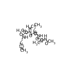 CC(=O)Nc1cc(C(=O)Nc2cc(C(=O)Nc3cc(C(=O)NCCCN4CCN(C)CC4)n(C)c3)n(CCC(C)C)c2)n(C)c1